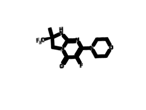 C[C@@]1(C(F)(F)F)Cn2c(nc(N3CCOCC3)c(F)c2=O)N1